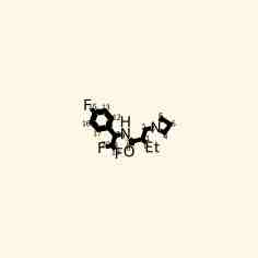 CCC(CN1CCC1)C(=O)NC(c1ccc(F)cc1)C(F)F